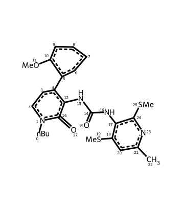 CCCCn1ccc(-c2ccccc2OC)c(NC(=O)Nc2c(SC)cc(C)nc2SC)c1=O